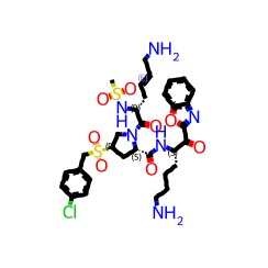 CS(=O)(=O)N[C@H](C/C=C/CN)C(=O)N1C[C@H](S(=O)(=O)Cc2ccc(Cl)cc2)C[C@H]1C(=O)N[C@@H](CCCCN)C(=O)c1nc2ccccc2o1